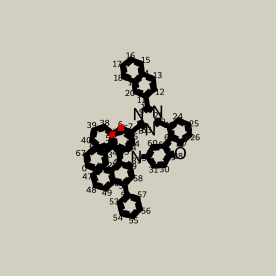 c1ccc(-c2ccc(-c3nc(-c4ccc5ccccc5c4)nc(-c4cccc5oc6ccc(-n7c8ccc9ccccc9c8c8c9ccccc9c(-c9ccccc9)cc87)cc6c45)n3)cc2)cc1